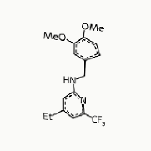 CCc1cc(NCc2ccc(OC)c(OC)c2)nc(C(F)(F)F)c1